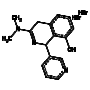 Br.Br.CN(C)C1=NC(c2cccnc2)c2c(O)cccc2C1